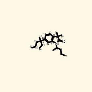 CCCC(C)N1C(=O)C(C)(C)c2ccc(C(C)(CC)CCC)cc21